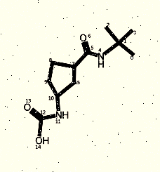 CC(C)(C)NC(=O)C1CCC(NC(=O)O)C1